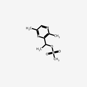 Cc1cnc(C)c(C(C)OS(C)(=O)=O)n1